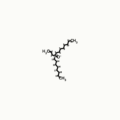 C=CC[N+]([O-])(CCCCCCCC)CCCCCCCC